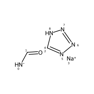 [NH-]C=O.[Na+].c1nnn[nH]1